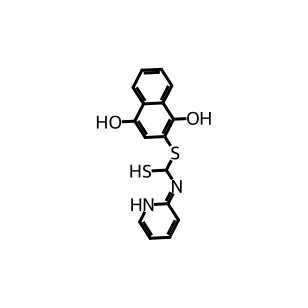 Oc1cc(SC(S)/N=c2/cccc[nH]2)c(O)c2ccccc12